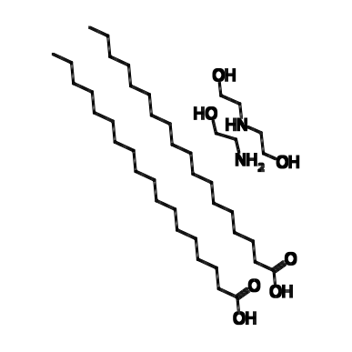 CCCCCCCCCCCCCCCCCC(=O)O.CCCCCCCCCCCCCCCCCC(=O)O.NCCO.OCCNCCO